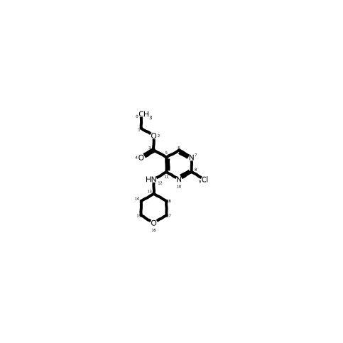 CCOC(=O)c1cnc(Cl)nc1NC1CCOCC1